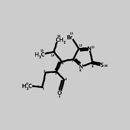 CCCC(C=O)=C(C1=NC(=S)N=C1Br)C(C)C